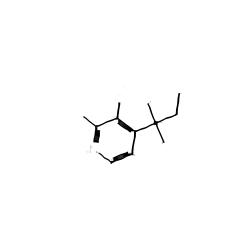 CCC(C)(C)c1ccnc(F)c1F